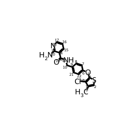 Cc1csc(Oc2ccc(CNC(=O)c3cccnc3N)cc2)c1Cl